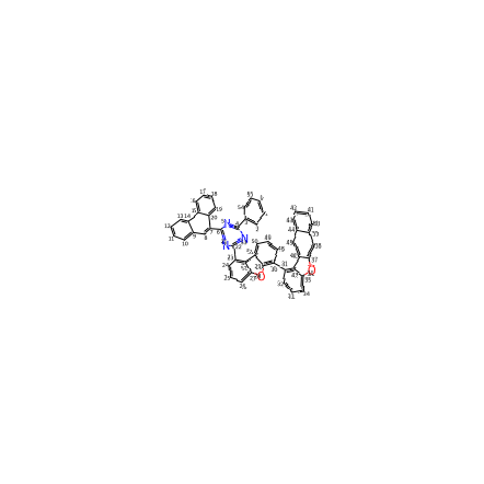 c1ccc(-c2nc(-c3cc4ccccc4c4ccccc34)nc(-c3cccc4oc5c(-c6cccc7oc8cc9ccccc9cc8c67)cccc5c34)n2)cc1